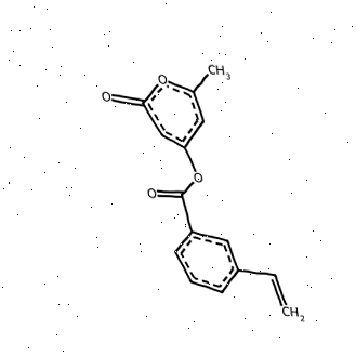 C=Cc1cccc(C(=O)Oc2cc(C)oc(=O)c2)c1